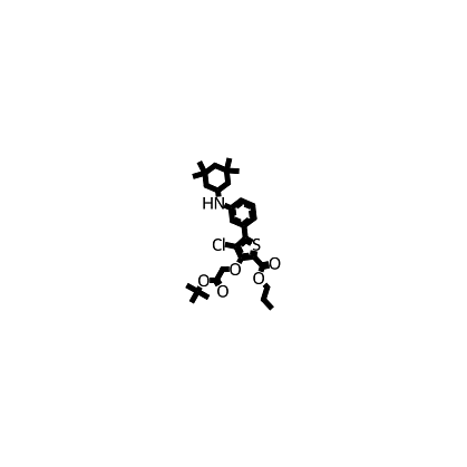 CCCOC(=O)c1sc(-c2cccc(NC3CC(C)(C)CC(C)(C)C3)c2)c(Cl)c1OCC(=O)OC(C)(C)C